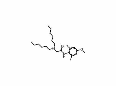 CCCCCCN(CCCCCC)CC(=O)Nc1c(C)cc(OC)cc1C